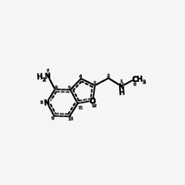 CNCc1cc2c(N)nccc2o1